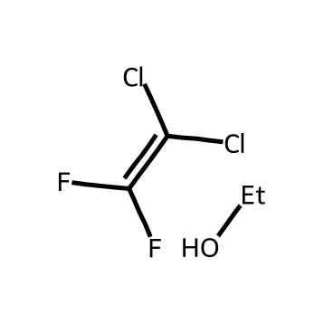 CCO.FC(F)=C(Cl)Cl